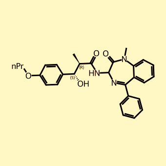 CCCOc1ccc([C@@H](O)[C@@H](C)C(=O)NC2N=C(c3ccccc3)c3ccccc3N(C)C2=O)cc1